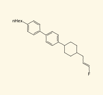 CCCCCCc1ccc(-c2ccc(C3CCC(CC=CF)CC3)cc2)cc1